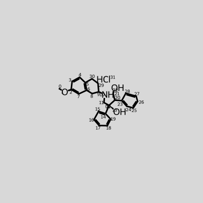 COc1ccc2c(c1)CC(NC[C@@](O)(c1ccccc1)C(CO)c1ccccc1)CC2.Cl